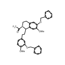 COc1ccc(CCC2c3cc(OC)c(OCc4ccccc4)cc3CCN2C(=O)C(F)(F)F)cc1OCc1ccccc1